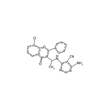 CC(Nc1ncnc(N)c1C#N)c1c(-c2ccccc2)oc2c(Cl)cccc2c1=O